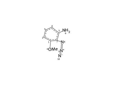 COc1cccc(N)c1N=[N+]=[N-]